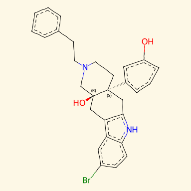 Oc1cccc([C@@]23CCN(CCc4ccccc4)C[C@@]2(O)Cc2c([nH]c4ccc(Br)cc24)C3)c1